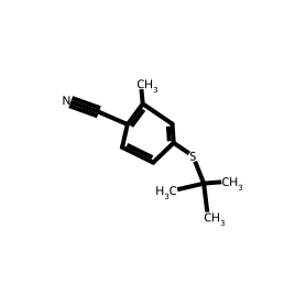 Cc1cc(SC(C)(C)C)ccc1C#N